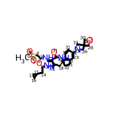 CS(=O)(=O)CC(=O)Nc1c2c(nn1CCC1CC1)C[C@@]1(CCc3cc(N4CC5(COC5)C4)ccc31)NC2=O